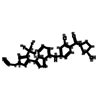 N#CCn1cc(-c2cnc3c(Nc4ccc(C(=O)N5CC[C@@H](O)C5)c(Cl)c4)nccn23)c(C(F)(F)F)n1